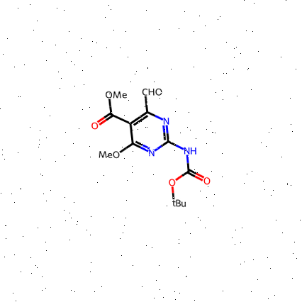 COC(=O)c1c(C=O)nc(NC(=O)OC(C)(C)C)nc1OC